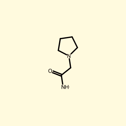 [NH]C(=O)CN1CCCC1